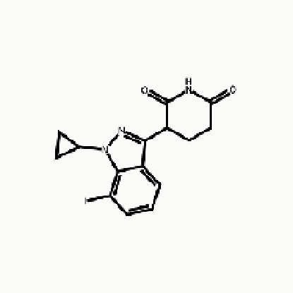 O=C1CCC(c2nn(C3CC3)c3c(I)cccc23)C(=O)N1